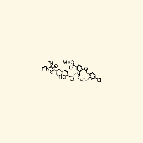 C=N/C(=N\C=C/C)S(=O)(=O)[C@H]1CCC[C@H](/C=C\[C@@H](O)[C@H]2CC[C@H]2CN2CCCCc3cc(Cl)ccc3COc3ccc(C(=O)OC)cc32)[C@H]1C